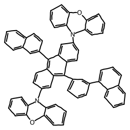 c1cc(-c2cccc3ccccc23)cc(-c2c3ccc(N4c5ccccc5Oc5ccccc54)cc3c(-c3ccc4ccccc4c3)c3ccc(N4c5ccccc5Oc5ccccc54)cc23)c1